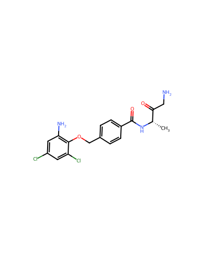 C[C@H](NC(=O)c1ccc(COc2c(N)cc(Cl)cc2Cl)cc1)C(=O)CN